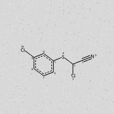 N#CC(Cl)Sc1cccc(Cl)c1